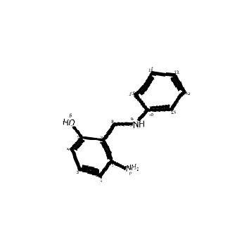 Nc1cccc(O)c1CNc1ccccc1